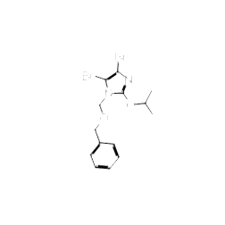 CC(C)Oc1nc(Br)c(Br)n1COCc1ccccc1